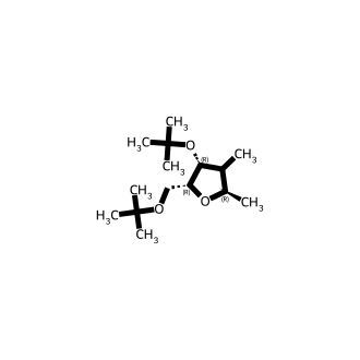 CC1[C@@H](OC(C)(C)C)[C@@H](COC(C)(C)C)O[C@@H]1C